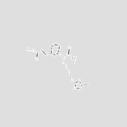 COC(=O)/C=C/c1cccc(N(CCCCCc2nc(C)no2)C(=O)C2CC2)c1